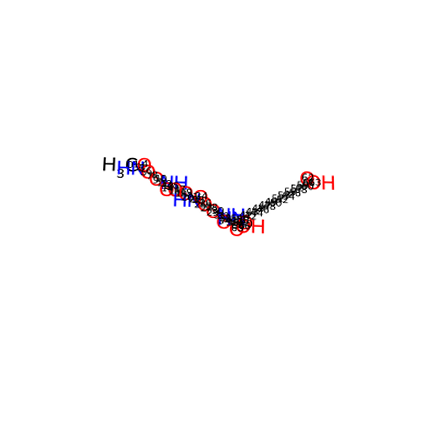 CCNC(=O)COCCOCCNC(=O)COCCOCCNC(=O)COCCOCCNC(=O)CC[C@H](NC(=O)CCCCCCCCCCCCCCCCCCCCC(=O)O)C(=O)O